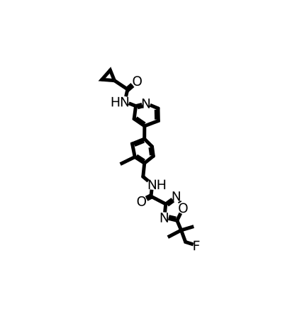 Cc1cc(-c2ccnc(NC(=O)C3CC3)c2)ccc1CNC(=O)c1noc(C(C)(C)CF)n1